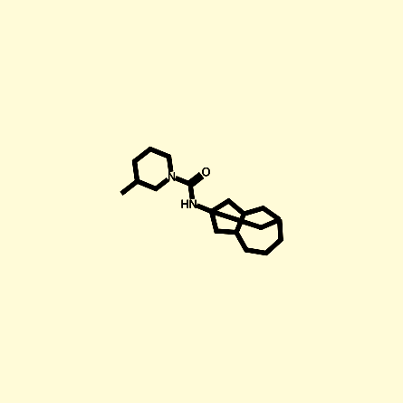 CC1CCCN(C(=O)NC23CC4CCCC(C2)C(C4)C3)C1